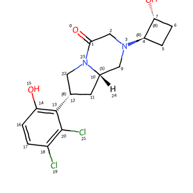 O=C1CN([C@@H]2CC[C@H]2O)C[C@@H]2C[C@H](c3c(O)ccc(Cl)c3Cl)CN12